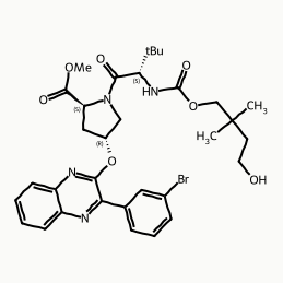 COC(=O)[C@@H]1C[C@@H](Oc2nc3ccccc3nc2-c2cccc(Br)c2)CN1C(=O)[C@@H](NC(=O)OCC(C)(C)CCO)C(C)(C)C